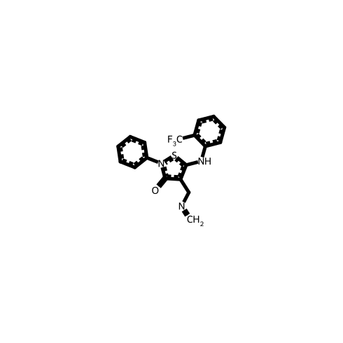 C=NCc1c(Nc2ccccc2C(F)(F)F)sn(-c2ccccc2)c1=O